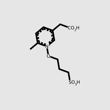 Cc1ccc(CC(=O)O)c[n+]1OCCCS(=O)(=O)O